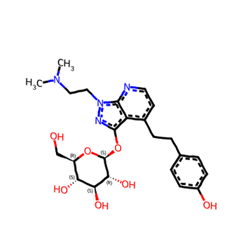 CN(C)CCn1nc(O[C@@H]2O[C@H](CO)[C@@H](O)[C@H](O)[C@H]2O)c2c(CCc3ccc(O)cc3)ccnc21